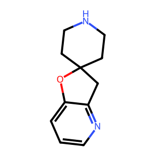 c1cnc2c(c1)OC1(CCNCC1)C2